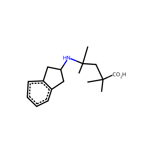 CC(C)(CC(C)(C)C(=O)O)NC1Cc2ccccc2C1